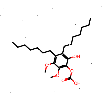 CCCCCCCc1c(O)c(OC(=O)O)c(OC)c(OC)c1CCCCCCC